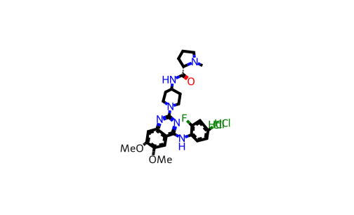 COc1cc2nc(N3CCC(NC(=O)[C@@H]4CCCN4C)CC3)nc(Nc3ccc(Cl)cc3F)c2cc1OC.Cl.Cl